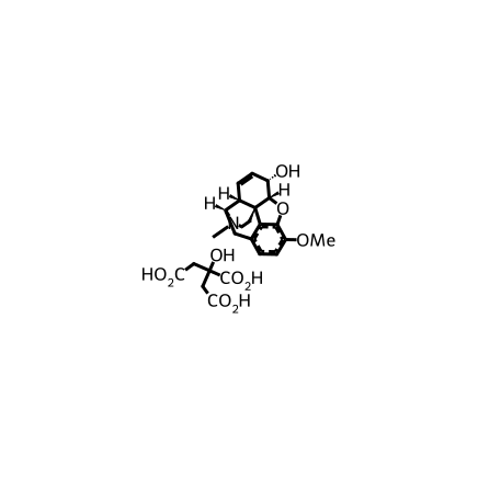 COc1ccc2c3c1O[C@H]1[C@@H](O)C=C[C@H]4[C@@H](C2)N(C)CC[C@@]341.O=C(O)CC(O)(CC(=O)O)C(=O)O